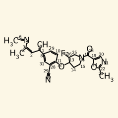 C=C(/C=C(C)\N=C/C)c1ccc(OC2CCN(C(=O)c3cnc(C)o3)CC2F)c(C#N)c1